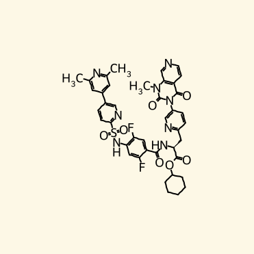 Cc1cc(-c2ccc(S(=O)(=O)Nc3cc(F)c(C(=O)N[C@@H](Cc4ccc(-n5c(=O)c6ccncc6n(C)c5=O)cn4)C(=O)OC4CCCCC4)cc3F)nc2)cc(C)n1